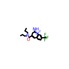 CCCN(CCC)C(=O)C1=Cc2ccc(C(F)(F)F)cc2N=C(N)C1